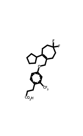 O=C(O)CCc1ccc(OCC2=C(C3CCCC3)CCC(F)(F)CC2)cc1C(F)(F)F